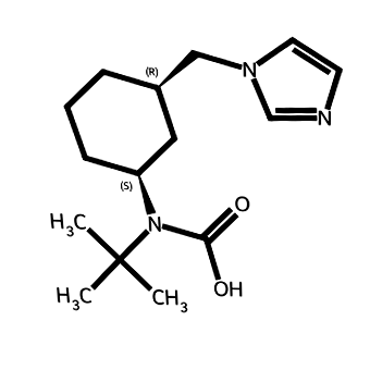 CC(C)(C)N(C(=O)O)[C@H]1CCC[C@@H](Cn2ccnc2)C1